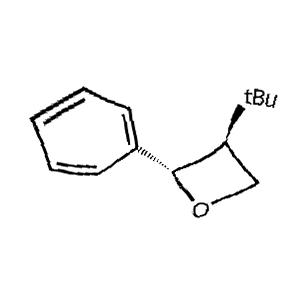 CC(C)(C)[C@H]1CO[C@@H]1c1ccccc1